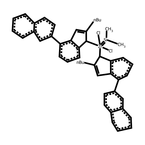 CCCCC1=Cc2c(-c3ccc4ccccc4c3)cccc2[CH]1[Zr]([Cl])([Cl])([CH]1C(CCCC)=Cc2c(-c3ccc4ccccc4c3)cccc21)=[Si](C)C